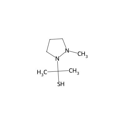 CN1CCCN1C(C)(C)S